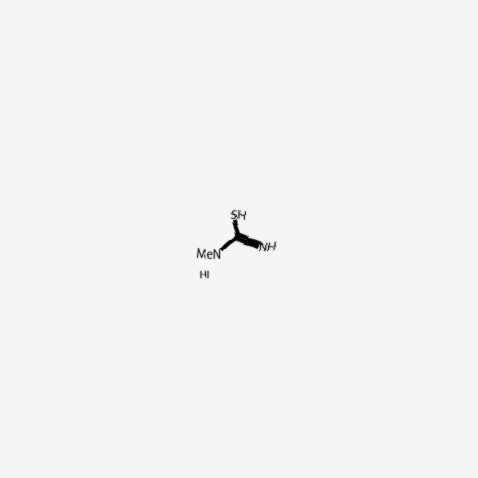 CNC(=N)S.I